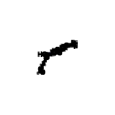 CC(=O)OCCCCCCOC(O)/C=C/c1ccc(OC(=O)c2ccc(OCCCC(F)(F)F)cc2)cc1